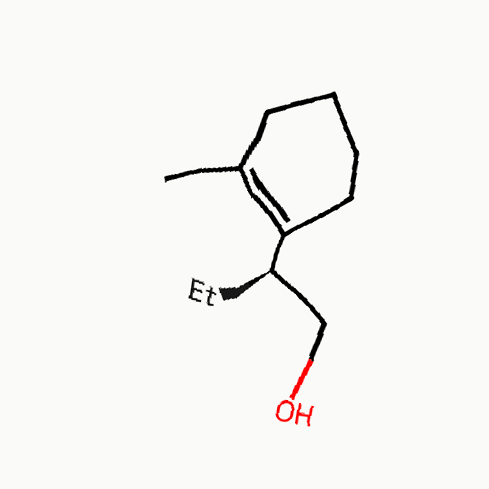 CC[C@H](CO)C1=C(C)CCCC1